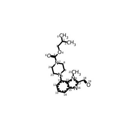 CC(C)COC(=O)N1CCN(c2cccc3nc(C=O)n(C)c23)CC1